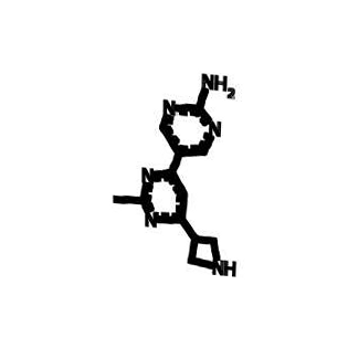 Cc1nc(-c2cnc(N)nc2)cc(C2CNC2)n1